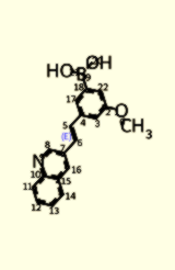 COc1cc(/C=C/c2cnc3ccccc3c2)cc(B(O)O)c1